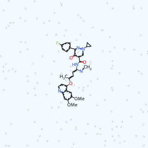 C=N/C(=C\C=C(/C)Oc1ccnc2cc(OC)c(OC)cc12)NC(=O)c1cn(C2CC2)nc(-c2ccc(F)cc2)c1=O